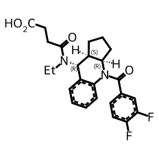 CCN(C(=O)CCC(=O)O)[C@H]1c2ccccc2N(C(=O)c2ccc(F)c(F)c2)[C@@H]2CCC[C@@H]21